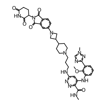 CNC(=O)c1nnc(NCCCN2CCC(C3CN(c4ccc5c(c4)C(=O)N(C4CCC(=O)NC4=O)C5=O)C3)CC2)cc1Nc1cccc(-c2ncn(C)n2)c1OC